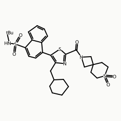 CC(C)(C)NS(=O)(=O)c1ccc(-c2sc(C(=O)N3CC4(CCS(=O)(=O)CC4)C3)nc2CC2CCCCC2)c2ccccc12